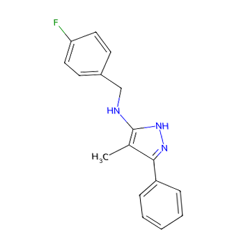 Cc1c(-c2ccccc2)n[nH]c1NCc1ccc(F)cc1